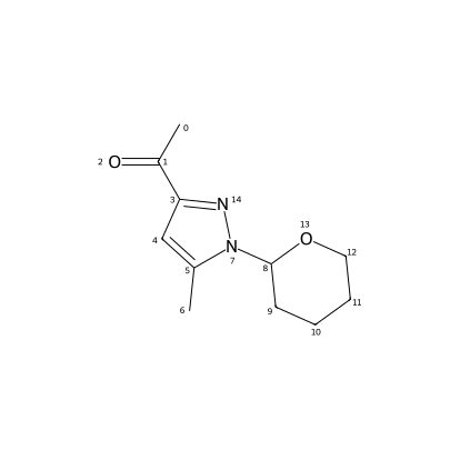 CC(=O)c1cc(C)n(C2CCCCO2)n1